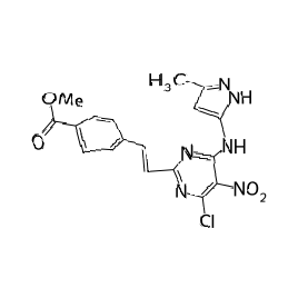 COC(=O)c1ccc(C=Cc2nc(Cl)c([N+](=O)[O-])c(Nc3cc(C)n[nH]3)n2)cc1